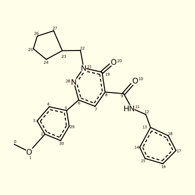 COc1ccc(-c2cc(C(=O)NCc3ccccc3)c(=O)n(CC3CCCC3)n2)cc1